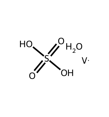 O.O=S(=O)(O)O.[V]